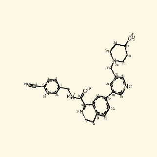 N#Cc1ccc(CNC(=O)C2=NCCc3ccc(-c4cncc(CN5CCC(O)CC5)c4)cc32)cn1